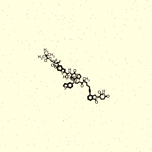 CN(CCCC#Cc1cccc2c1CN(C1CCC(=O)NC1=O)C2=O)C(=O)CCN(C(=O)[C@@H]1CCCN1C(=O)C(NC(=O)c1cc2cc(C(F)(F)P(=O)(O)OCOC(=O)C(C)(C)C)ccc2s1)C(C)(C)C)c1ccc2sccc2c1